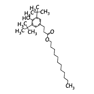 CCCCCCCCCCCCOC(=O)CCc1cc(C(C)(C)C)c(O)c(C(C)(C)C)c1